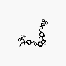 CC#SC(C)(CC(=O)O)c1ccc(COc2ccc3scc(-c4ccc(OCC5(C)CS(=O)(=O)C5)cc4C)c3c2)cc1